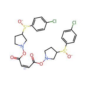 O=C(/C=C\C(=O)ON1CCC([S+]([O-])c2ccc(Cl)cc2)C1)ON1CCC([S+]([O-])c2ccc(Cl)cc2)C1